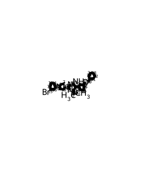 CN(C)c1nc(N2CCN(c3cccc(Br)c3)CC2)nc(N)c1-c1cccc(OCc2ccccc2)c1